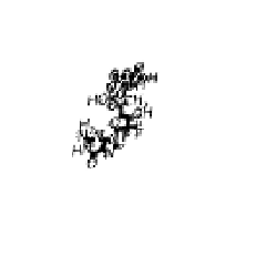 C[C@@H](OP(=O)(O)OP(=O)(O)OP(=O)(O)O)[C@H]1O[C@@H](n2cnc3c(=O)[nH]c(N)nc32)[C@@](F)(CF)C1O